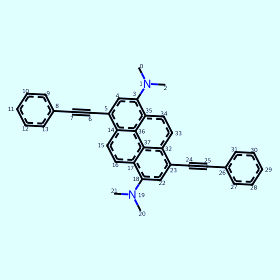 CN(C)c1cc(C#Cc2ccccc2)c2ccc3c(N(C)C)cc(C#Cc4ccccc4)c4ccc1c2c43